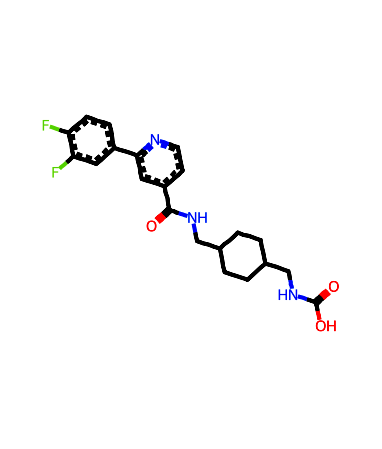 O=C(O)NCC1CCC(CNC(=O)c2ccnc(-c3ccc(F)c(F)c3)c2)CC1